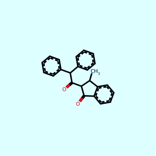 CC1c2ccccc2C(=O)C1C(=O)C(c1ccccc1)c1ccccc1